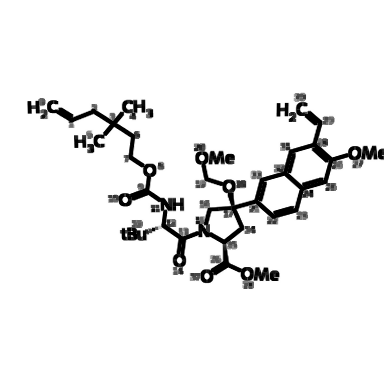 C=CCC(C)(C)CCOC(=O)N[C@H](C(=O)N1C[C@](OCOC)(c2ccc3cc(OC)c(C=C)cc3c2)C[C@H]1C(=O)OC)C(C)(C)C